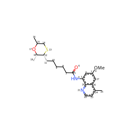 COc1cc(NC(=O)CCCCC[C@H]2SCC(C)O[C@H]2C)c2nccc(C)c2c1